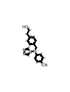 N#Cc1ccc(N(Cc2ccc(CCO)cc2)n2cnnc2)cc1